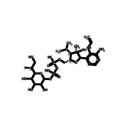 C=CNc1c(N)ncnc1C1O[C@H](COP(=O)(S)OP(=O)(O)OC2OC([C@@H](F)CO)C(O)C(O)C2O)[C@@H](N(C)C)[C@@]1(C)O